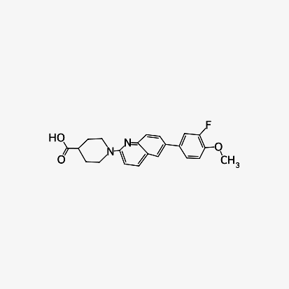 COc1ccc(-c2ccc3nc(N4CCC(C(=O)O)CC4)ccc3c2)cc1F